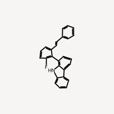 Fc1cccc(C=Cc2ccccc2)c1-c1cccc2c1[nH]c1ccccc12